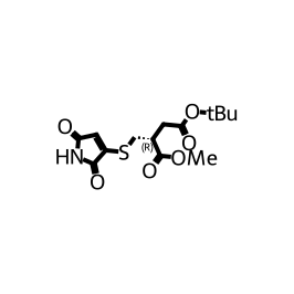 COC(=O)[C@H](CSC1=CC(=O)NC1=O)CC(=O)OC(C)(C)C